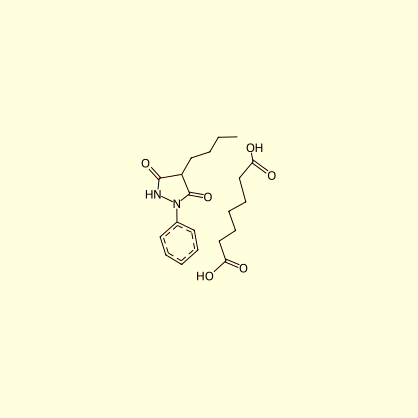 CCCCC1C(=O)NN(c2ccccc2)C1=O.O=C(O)CCCCCC(=O)O